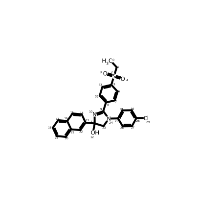 CCS(=O)(=O)c1ccc(C2=NC(O)(c3ccc4ccccc4c3)CN2c2ccc(Cl)cc2)cc1